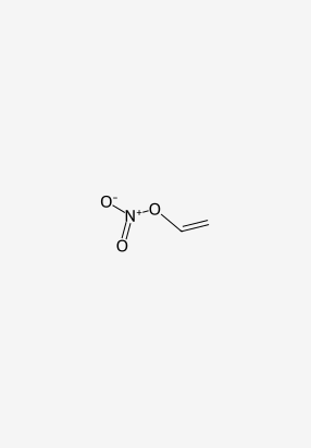 C=CO[N+](=O)[O-]